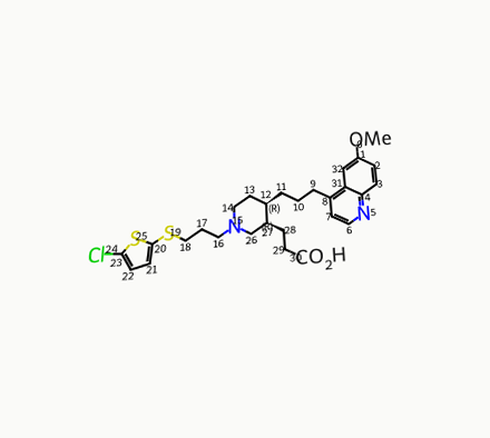 COc1ccc2nccc(CCC[C@@H]3CCN(CCCSc4ccc(Cl)s4)C[C@@H]3CCC(=O)O)c2c1